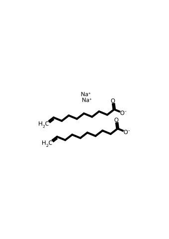 C=CCCCCCCCC(=O)[O-].C=CCCCCCCCC(=O)[O-].[Na+].[Na+]